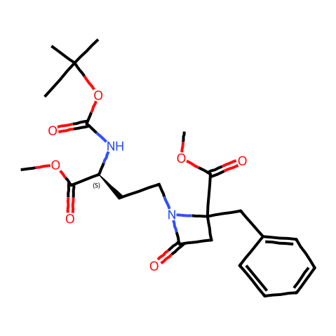 COC(=O)[C@H](CCN1C(=O)CC1(Cc1ccccc1)C(=O)OC)NC(=O)OC(C)(C)C